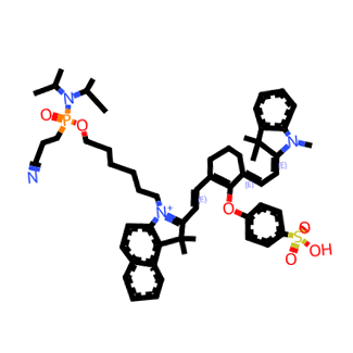 CC(C)N(C(C)C)P(=O)(CCC#N)OCCCCCC[N+]1=C(/C=C/C2=C(Oc3ccc(S(=O)(=O)O)cc3)C(=C/C=C3/N(C)c4ccccc4C3(C)C)/CCC2)C(C)(C)c2c1ccc1ccccc21